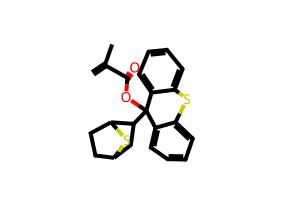 C=C(C)C(=O)OC1(C2CC3CCC2S3)c2ccccc2Sc2ccccc21